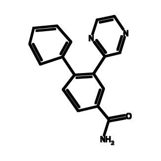 NC(=O)c1ccc(-c2ccccc2)c(-c2cnccn2)c1